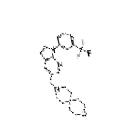 FC(F)(F)c1cc(-n2ccc3cc(CN4CCC5(CCOCC5)CC4)cnc32)ccn1